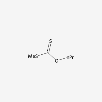 [CH2]SC(=S)OCCC